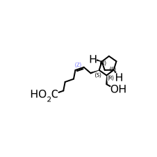 O=C(O)CCC/C=C\C[C@H]1[C@@H]2CC[C@@H](C2)[C@H]1CO